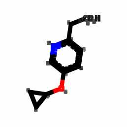 O=C(O)Cc1ccc(OC2CC2)cn1